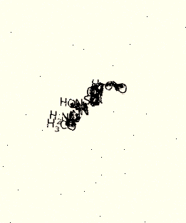 C[C@@H]1OCC2(CCN(c3ncc(Sc4ccnc5c4OC[C@@H]4C[C@H](COCC6COC6)CN54)nc3CO)CC2)[C@@H]1N